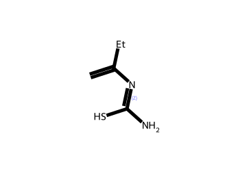 C=C(CC)/N=C(/N)S